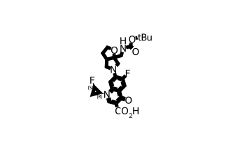 CC(C)(C)OC(=O)NCC12CN(c3cc4c(cc3F)c(=O)c(C(=O)O)cn4[C@@H]3C[C@@H]3F)CC1CCO2